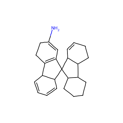 NC1=CC2=C(CC1)C1C=CC=CC1C21C2C=CCCC2C2CCCCC21